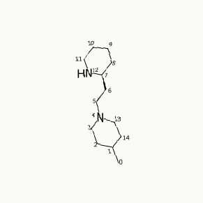 CC1CCN(CC[C@@H]2CCCCN2)CC1